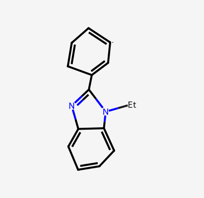 CCn1c(-c2c[c]ccc2)nc2ccccc21